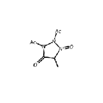 CC(=O)N1C(=O)C(C)[N+](=O)N1C(C)=O